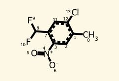 Cc1cc([N+](=O)[O-])c(C(F)F)cc1Cl